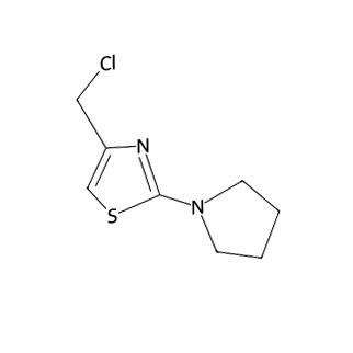 ClCc1csc(N2CCCC2)n1